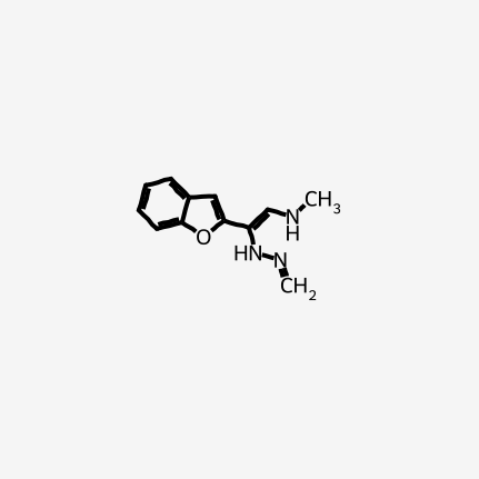 C=NN/C(=C\NC)c1cc2ccccc2o1